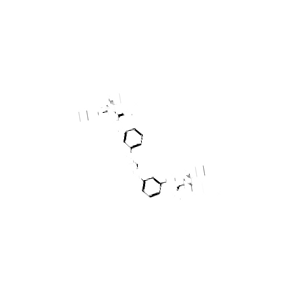 CN(C)C(=S)Oc1cccc(SCSc2cccc(OC(=S)N(C)C)c2)c1